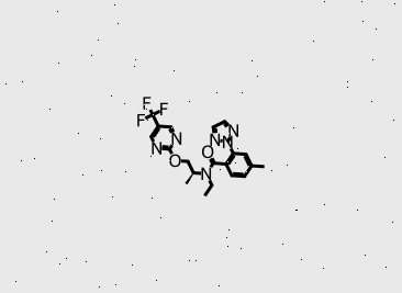 CCN(C(=O)c1ccc(C)cc1-n1nccn1)[C@@H](C)COc1ncc(C(F)(F)F)cn1